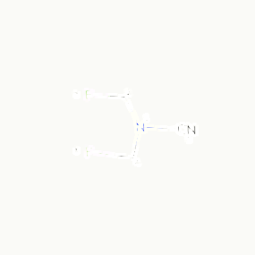 N#CN(CF)CF